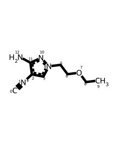 [C-]#[N+]c1cn(CCOCC)nc1N